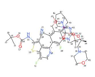 COCc1c(C)c(-c2ncc(F)c3sc(NC(=O)OC(C)(C)C)c(C#N)c23)c(F)c2nc(O[C@@H](C)CN3CCOCC3)nc(N3C4CCC3CN(C(=O)OC(C)(C)C)C4)c12